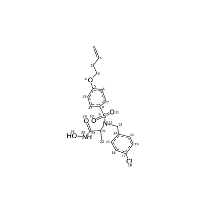 C=CCCOc1ccc(S(=O)(=O)N(Cc2ccc(Cl)cc2)C(C)C(=O)NO)cc1